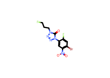 O=c1n(CCCF)nnn1-c1cc([N+](=O)[O-])c(Br)cc1F